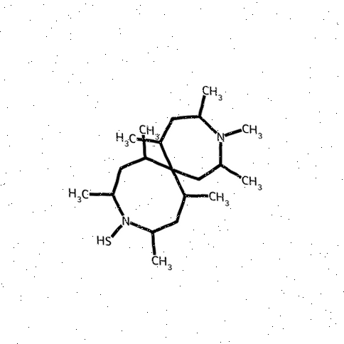 CC1CC(C)C2(CC(C)N1C)C(C)CC(C)N(S)C(C)CC2C